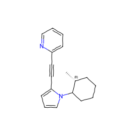 C[C@@H]1CCCCC1n1cccc1C#Cc1ccccn1